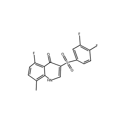 Cc1ccc(F)c2c(=O)c(S(=O)(=O)c3ccc(F)c(F)c3)c[nH]c12